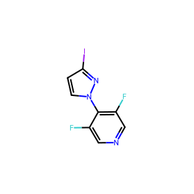 Fc1cncc(F)c1-n1ccc(I)n1